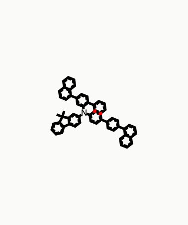 CC1(C)c2ccccc2-c2ccc(N(c3ccc(-c4ccc(-c5cccc6ccccc56)cc4)cc3)c3cc(-c4cccc5ccccc45)ccc3-c3ccccc3)cc21